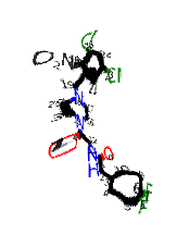 O=C(CC1CCC(F)(F)CC1)NCC(=O)N1CCN(Cc2cc(Cl)cc(Cl)c2[N+](=O)[O-])CC1